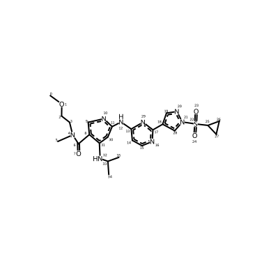 COCCN(C)C(=O)c1cnc(Nc2ccnc(-c3cnn(S(=O)(=O)C4CC4)c3)n2)cc1NC(C)C